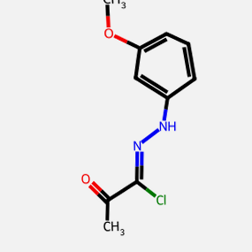 COc1cccc(NN=C(Cl)C(C)=O)c1